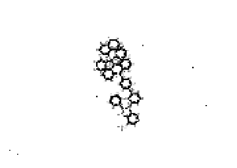 Cc1cccc2c1NC(c1ccccc1)N2c1cccc(-c2ccc(-c3c4ccccc4c([Si](c4ccccc4)(c4ccccc4)c4cccc5ccccc45)c4ccccc34)cc2)c1